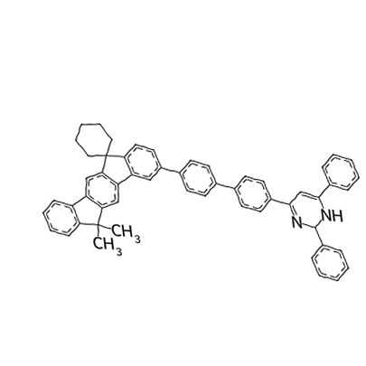 CC1(C)c2ccccc2-c2cc3c(cc21)-c1cc(-c2ccc(-c4ccc(C5=NC(c6ccccc6)NC(c6ccccc6)=C5)cc4)cc2)ccc1C31CCCCC1